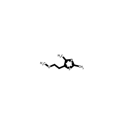 COCCc1sc(C)nc1C